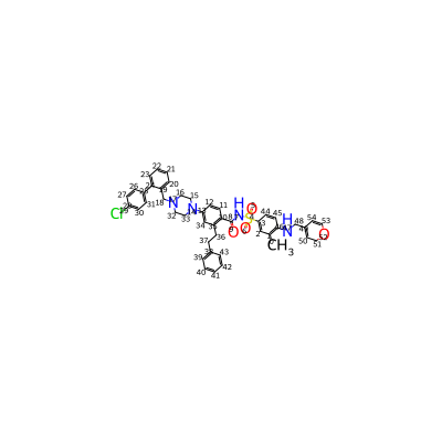 Cc1cc(S(=O)(=O)NC(=O)c2ccc(N3CCN(Cc4ccccc4-c4ccc(Cl)cc4)CC3)cc2CCc2ccccc2)ccc1NCC1=CCOC=C1